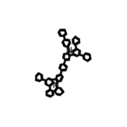 c1ccc(-c2ccc(-n3c4ccc(-c5ccc(-c6ccc7c(c6)c6cc(-c8ccccc8)cc(-c8ccccc8)c6n7-c6ccccc6)cc5)cc4c4cc(-c5ccccc5)cc(-c5ccccc5)c43)cc2)cc1